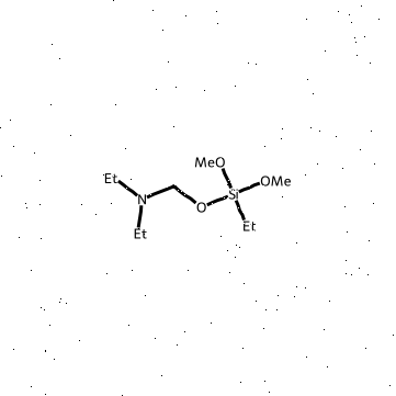 CCN(CC)CO[Si](CC)(OC)OC